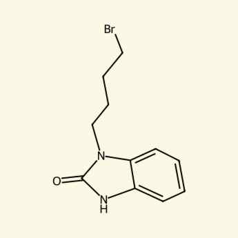 O=c1[nH]c2ccccc2n1CCCCBr